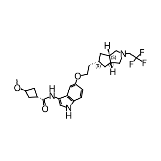 CO[C@H]1C[C@H](C(=O)Nc2c[nH]c3ccc(OCC[C@@H]4C[C@@H]5CN(CC(F)(F)F)C[C@@H]5C4)cc23)C1